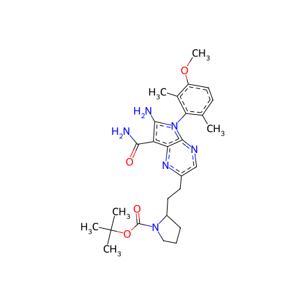 COc1ccc(C)c(-n2c(N)c(C(N)=O)c3nc(CCC4CCCN4C(=O)OC(C)(C)C)cnc32)c1C